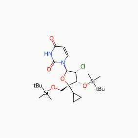 CC(C)(C)[Si](C)(C)OC[C@@]1(C2CC2)O[C@@H](n2ccc(=O)[nH]c2=O)[C@H](Cl)[C@@H]1O[Si](C)(C)C(C)(C)C